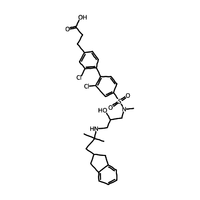 CN(CC(O)CNC(C)(C)CC1Cc2ccccc2C1)S(=O)(=O)c1ccc(-c2ccc(CCC(=O)O)cc2Cl)c(Cl)c1